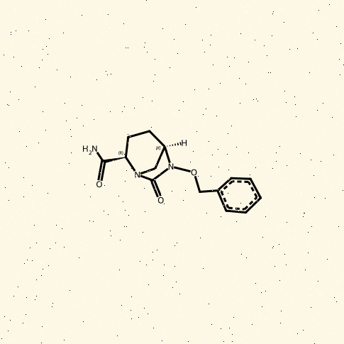 NC(=O)[C@H]1CC[C@@H]2CN1C(=O)N2OCc1ccccc1